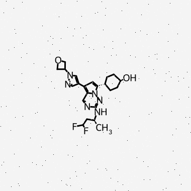 C[C@@H](CC(F)F)Nc1ncc2c(-c3cnn(C4COC4)c3)cc([C@H]3CC[C@H](O)CC3)n2n1